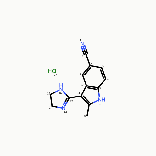 Cc1[nH]c2ccc(C#N)cc2c1C1=NCCN1.Cl